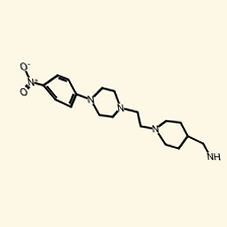 NCC1CCN(CCN2CCN(c3ccc([N+](=O)[O-])cc3)CC2)CC1